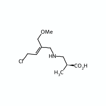 COC/C(=C\CCl)CNC[C@H](C)C(=O)O